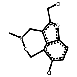 CN1CCc2c(Cl)ccc3oc(CCl)c(c23)C1